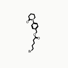 O=C(CCCCBr)OCc1ccc(N2CCCCC2=O)cc1